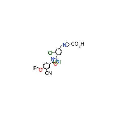 CC(C)Oc1ccc(-c2nc(-c3ccc(CN4CC(C(=O)O)C4)cc3Cl)no2)cc1C#N.Cl